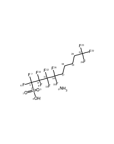 N.O=S(=O)(O)C(F)(F)C(F)(F)C(F)(F)C(F)(F)CCCCC(F)(F)F